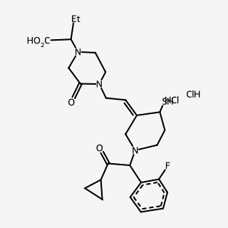 CCC(C(=O)O)N1CCN(CC=C2CN(C(C(=O)C3CC3)c3ccccc3F)CCC2S)C(=O)C1.Cl.Cl